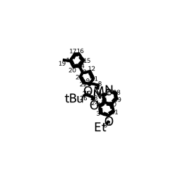 CCOc1ccc2c(N(CC3(OC)C=CC(c4cccc(C)c4)C=C3)C(=O)CC(C)(C)C)nccc2c1